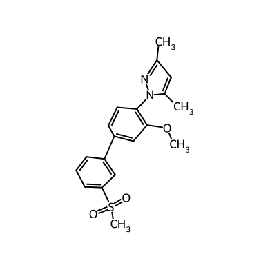 COc1cc(-c2cccc(S(C)(=O)=O)c2)ccc1-n1nc(C)cc1C